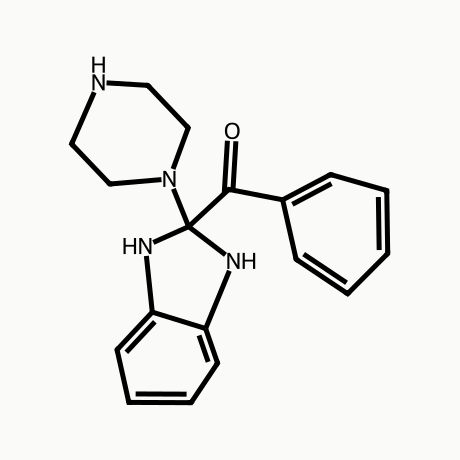 O=C(c1ccccc1)C1(N2CCNCC2)Nc2ccccc2N1